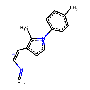 C=N/C=C\c1ccn(-c2ccc(C)cc2)c1C